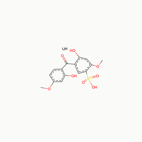 COc1ccc(C(=O)c2cc(S(=O)(=O)O)c(OC)cc2O)c(O)c1.[LiH]